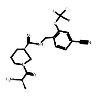 C[C@@H](N)C(=O)N1CCC[C@@H](C(=O)NCc2ccc(C#N)cc2OC(F)(F)F)C1